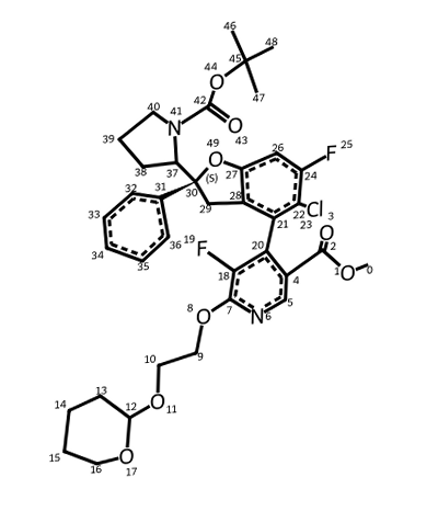 COC(=O)c1cnc(OCCOC2CCCCO2)c(F)c1-c1c(Cl)c(F)cc2c1C[C@](c1ccccc1)(C1CCCN1C(=O)OC(C)(C)C)O2